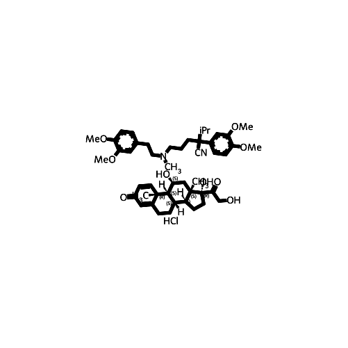 COc1ccc(CCN(C)CCCC(C#N)(c2ccc(OC)c(OC)c2)C(C)C)cc1OC.C[C@]12C=CC(=O)C=C1CC[C@@H]1[C@@H]2[C@@H](O)C[C@@]2(C)[C@H]1CC[C@]2(O)C(=O)CO.Cl